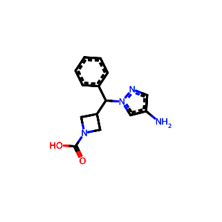 Nc1cnn(C(c2ccccc2)C2CN(C(=O)O)C2)c1